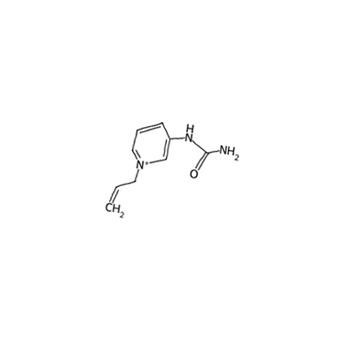 C=CC[n+]1cccc(NC(N)=O)c1